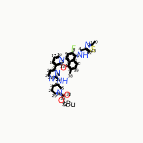 Cc1nc(CNc2c(F)ccc3c(Oc4ncccc4-c4ccnc(N[C@H]5CCCN(C(=O)OC(C)(C)C)C5)n4)c(C)ccc23)cs1